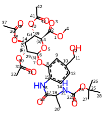 COC(=O)[C@H]1O[C@@H](Oc2cc(CO)ccc2NC(=O)C(C)NC(=O)OC(C)(C)C)[C@H](OC(C)=O)[C@@H](OC(C)=O)[C@@H]1OC(C)=O